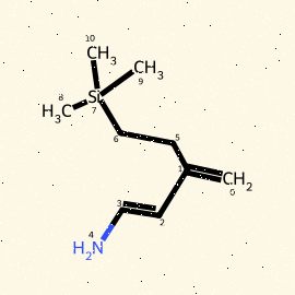 C=C(C=CN)CC[Si](C)(C)C